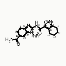 CCCn1c(NC(=O)c2onc3c2CCCC3)nc2ccc(C(N)=O)cc21